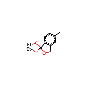 CCOC1(OCC)OCc2cc(C)ccc21